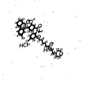 COc1cc(C(=O)N(C)c2ccc(C)cc2OCCCCCC(=O)NCCN2CCOCC2)ccc1NC(=O)c1ccccc1-c1ccc(C)cc1.Cl